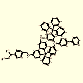 CC(C)CC(c1ccc(COc2ccc(C3(c4ccc(C(C)(C)C)cc4)c4ccccc4-c4ccc(N(c5ccc(-c6ccccc6)cc5)c5ccc6c(c5)C(c5ccccc5)(c5ccccc5)c5ccccc5-6)cc43)cc2)cc1)C(C)C